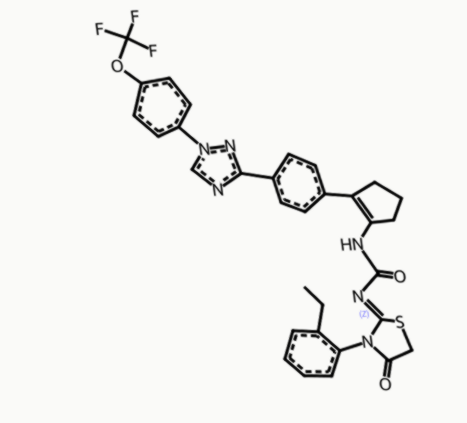 CCc1ccccc1N1C(=O)CS/C1=N\C(=O)NC1=C(c2ccc(-c3ncn(-c4ccc(OC(F)(F)F)cc4)n3)cc2)CCC1